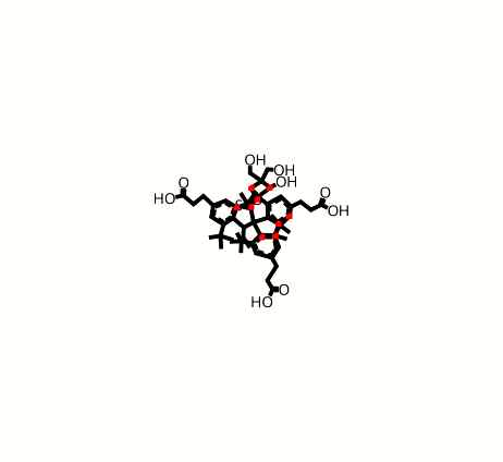 CCC(c1c(C(C)(C)C)cc(CCC(=O)O)cc1C(C)(C)C)C(C(=S)OCC(CO)(CO)CO)(c1c(C(C)(C)C)cc(CCC(=O)O)cc1C(C)(C)C)c1c(C(C)(C)C)cc(CCC(=O)O)cc1C(C)(C)C